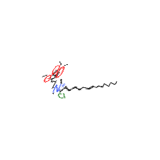 CCCCCCCCCCCCCCCC(Cl)[N+](C)(CC)CCC[Si](OCC)(OCC)OCC